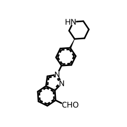 O=Cc1cccc2cn(-c3ccc([C@@H]4CCCNC4)cc3)nc12